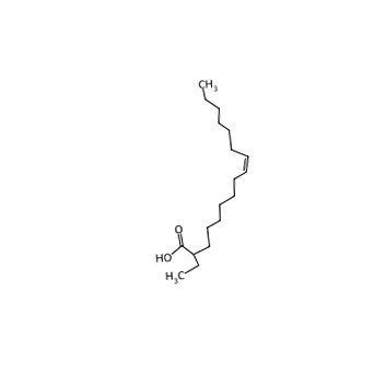 CCCCCC/C=C\CCCCCCC(CC)C(=O)O